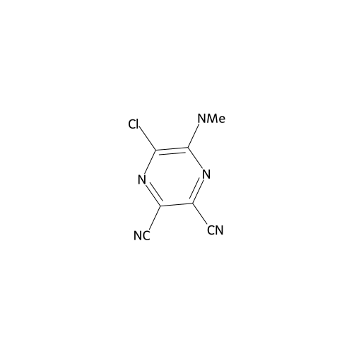 CNc1nc(C#N)c(C#N)nc1Cl